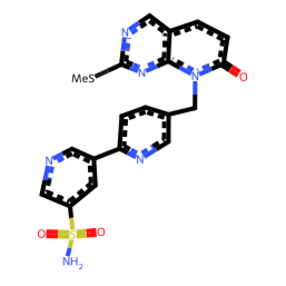 CSc1ncc2ccc(=O)n(Cc3ccc(-c4cncc(S(N)(=O)=O)c4)nc3)c2n1